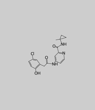 CC1(NC(=O)c2cc(NC(=O)Cc3cc(Cl)ccc3O)ccn2)CC1